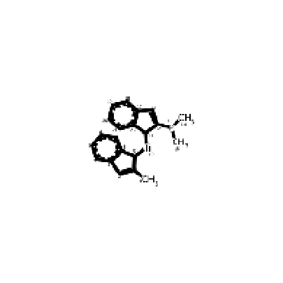 CC1=Cc2ccccc2[CH]1[Ti][CH]1C(P(C)C)=Cc2ccccc21